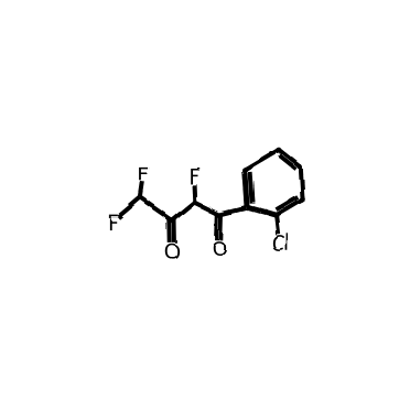 O=C(c1ccccc1Cl)C(F)C(=O)C(F)F